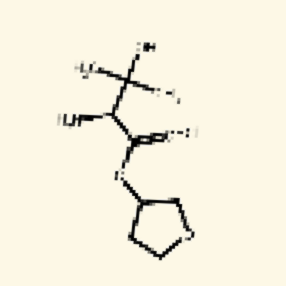 CC(C)(O)[C@H](N)C(=O)OC1CCOC1.Cl